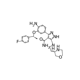 C[C@H](Oc1cc(-c2n[nH]c(NC/C=C3/COCCN3)c2C(N)=O)ccc1N)c1ccc(F)cc1